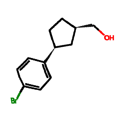 OC[C@H]1CC[C@@H](c2ccc(Br)cc2)C1